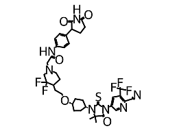 CC1(C)C(=O)N(c2cnc(C#N)c(C(F)(F)F)c2)C(=S)N1[C@H]1CC[C@H](OCCC2CCN(CC(=O)Nc3ccc(C4CCC(=O)NC4=O)cc3)CC2(F)F)CC1